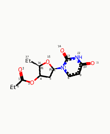 CCC(=O)OC1C[C@H](n2ccc(=O)[nH]c2=O)O[C@@H]1CC